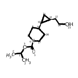 CC(C)OC(=O)N1CCC([C@H]2C[C@H]2CCO)CC1